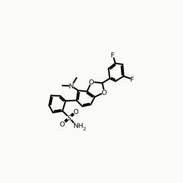 CN(C)c1c(-c2ccccc2S(N)(=O)=O)ccc2c1OC(c1cc(F)cc(F)c1)O2